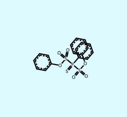 O=S(=O)(Oc1ccccc1)P(=S)(c1ccccc1)S(=O)(=O)Oc1ccccc1